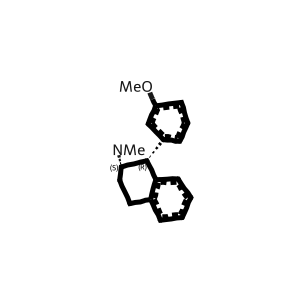 CN[C@H]1CCc2ccccc2[C@H]1c1cccc(OC)c1